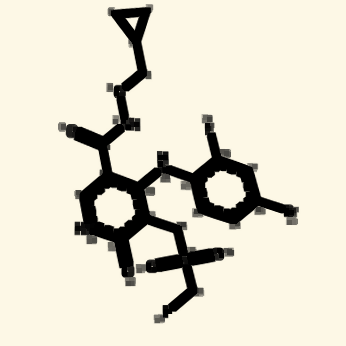 O=C(NOCC1CC1)c1c[nH]c(=O)c(CS(=O)(=O)CF)c1Nc1ccc(Br)cc1F